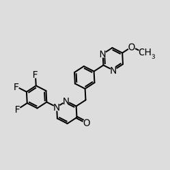 COc1cnc(-c2cccc(Cc3nn(-c4cc(F)c(F)c(F)c4)ccc3=O)c2)nc1